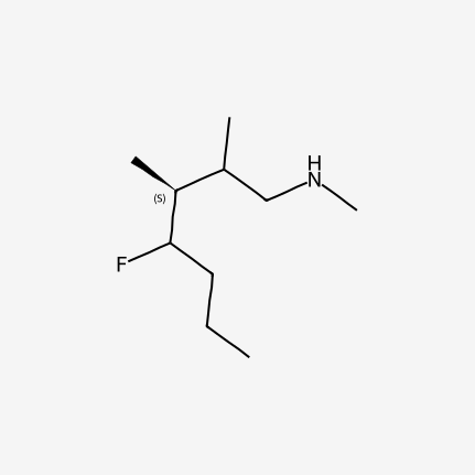 CCCC(F)[C@@H](C)C(C)CNC